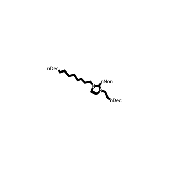 CCCCCCCCCCCCCCCCCCN1C=CN(CCCCCCCCCCCC)C1CCCCCCCCC